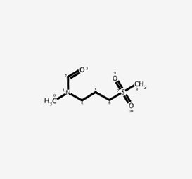 CN([C]=O)CCCS(C)(=O)=O